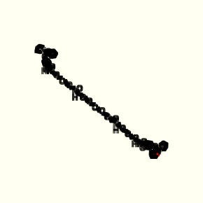 O=C(CCOCCOCCOCCOCCOCCC(=O)NCCOCCOCCOCCNS(=O)(=O)c1ccc(O[C@H]2c3ccccc3C[C@@H]2N2CCCCC2)cc1)NCCOCCOCCOCCNS(=O)(=O)c1ccc(O[C@H]2c3ccccc3C[C@@H]2N2CCCCC2)cc1